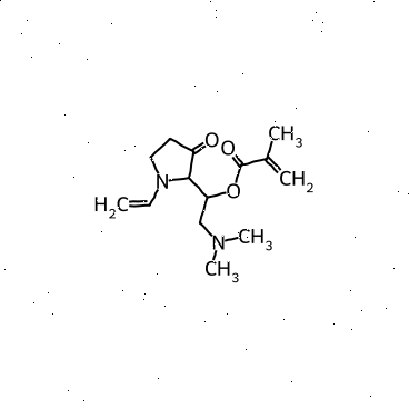 C=CN1CCC(=O)C1C(CN(C)C)OC(=O)C(=C)C